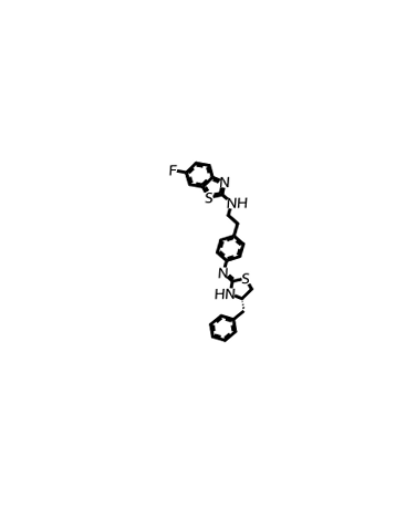 Fc1ccc2nc(NCCc3ccc(/N=C4/N[C@@H](Cc5ccccc5)CS4)cc3)sc2c1